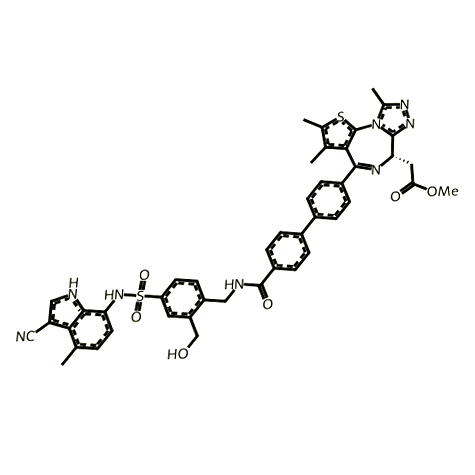 COC(=O)C[C@@H]1N=C(c2ccc(-c3ccc(C(=O)NCc4ccc(S(=O)(=O)Nc5ccc(C)c6c(C#N)c[nH]c56)cc4CO)cc3)cc2)c2c(sc(C)c2C)-n2c(C)nnc21